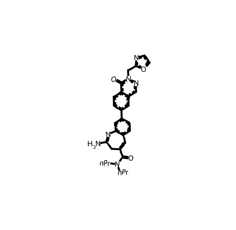 CCCN(CCC)C(=O)C1=Cc2ccc(-c3ccc4c(=O)n(Cc5ncco5)ncc4c3)cc2N=C(N)C1